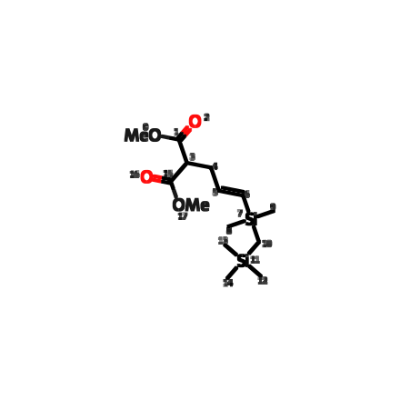 COC(=O)C(CC=C[Si](C)(C)C[Si](C)(C)C)C(=O)OC